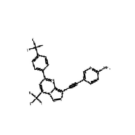 Nc1ccc(C#Cc2ncn3c(C(F)(F)F)cc(-c4ccc(C(F)(F)F)cc4)nc23)cn1